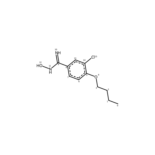 CCCCOc1ccc(C(=N)NO)cc1Cl